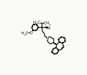 COc1cccc(C(C#N)(CCCN2CCC(=C3c4ccccc4C=Cc4ccccc43)CC2)C(C)C)c1